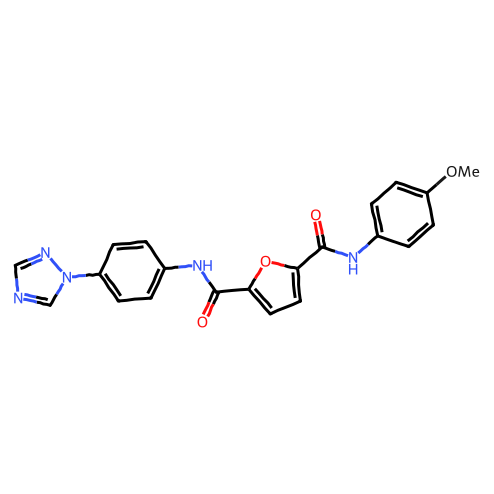 COc1ccc(NC(=O)c2ccc(C(=O)Nc3ccc(-n4cncn4)cc3)o2)cc1